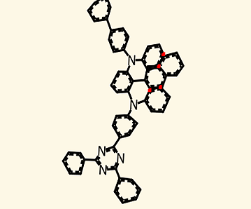 c1ccc(-c2ccc(N(c3ccccc3)c3cccc(N(c4ccccc4)c4ccc(-c5nc(-c6ccccc6)nc(-c6ccccc6)n5)cc4)c3-c3ccc4ccccc4c3)cc2)cc1